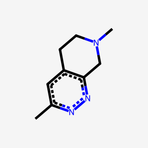 Cc1cc2c(nn1)CN(C)CC2